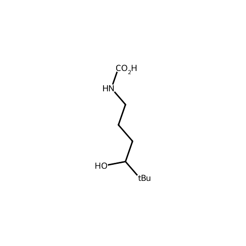 CC(C)(C)C(O)CCCNC(=O)O